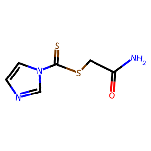 NC(=O)CSC(=S)n1ccnc1